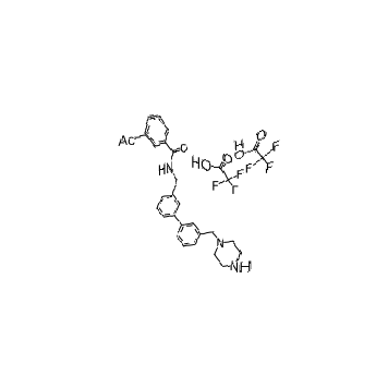 CC(=O)c1cccc(C(=O)NCc2cccc(-c3cccc(CN4CCNCC4)c3)c2)c1.O=C(O)C(F)(F)F.O=C(O)C(F)(F)F